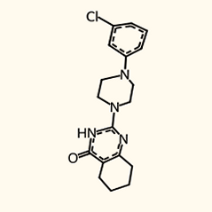 O=c1[nH]c(N2CCN(c3cccc(Cl)c3)CC2)nc2c1CCCC2